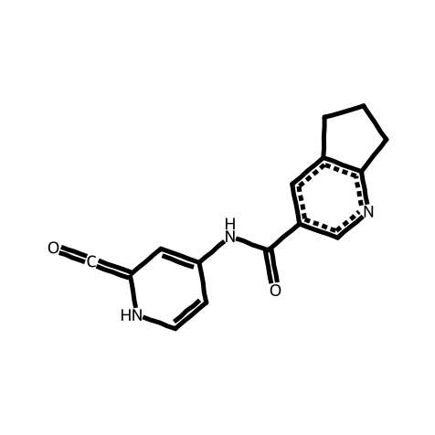 O=C=C1C=C(NC(=O)c2cnc3c(c2)CCC3)C=CN1